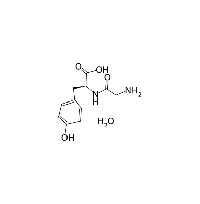 NCC(=O)N[C@@H](Cc1ccc(O)cc1)C(=O)O.O